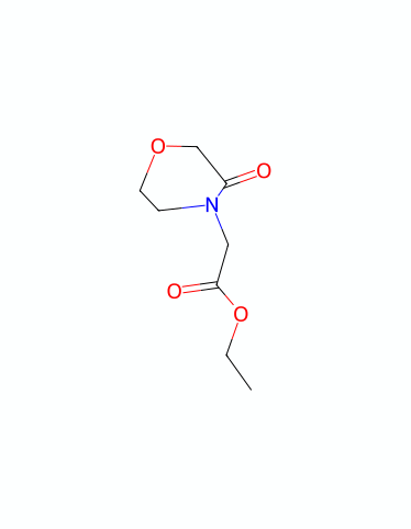 CCOC(=O)CN1CCOCC1=O